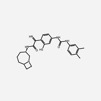 Cc1ccc(NC(=O)Nc2ccc(C(=N)C(=O)N[C@@H]3CCCC4CCN4C3)c(S)c2)cc1C